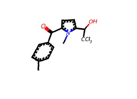 Cc1ccc(C(=O)c2ccc(C(O)C(Cl)(Cl)Cl)n2C)cc1